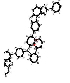 c1ccc(-c2nc3c(ccc4oc5cc(-c6ccc(N(c7ccc(-c8cccc9c8oc8ccccc89)cc7)c7ccccc7-c7ccccc7)cc6)ccc5c43)s2)cc1